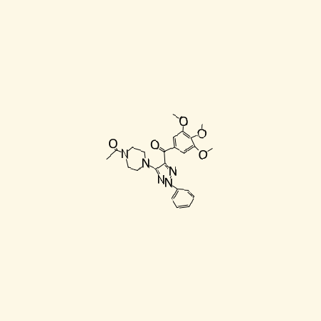 COc1cc(C(=O)c2nn(-c3ccccc3)nc2N2CCN(C(C)=O)CC2)cc(OC)c1OC